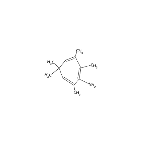 CC1=CC(C)(C)C=C(C)C(N)=C1C